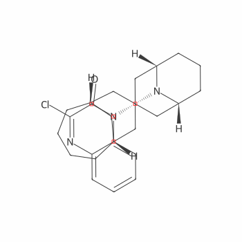 O=c1c(Cl)nc2ccccc2n1[C@H]1C[C@H]2CCC[C@@H](C1)N2[C@@H]1C[C@@H]2CCCC[C@@H](C2)C1